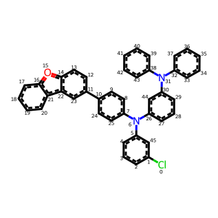 Clc1cccc(N(c2ccc(-c3ccc4oc5ccccc5c4c3)cc2)c2cccc(N(c3ccccc3)c3ccccc3)c2)c1